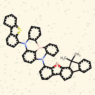 CC1(C)c2ccccc2-c2ccc3c(oc4c(N5c6ccccc6B6c7ccccc7N(c7cccc8c7sc7ccccc78)c7cccc5c76)cccc43)c21